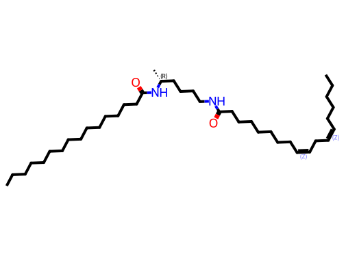 CCCCC/C=C\C/C=C\CCCCCCCC(=O)NCCCC[C@@H](C)NC(=O)CCCCCCCCCCCCCCC